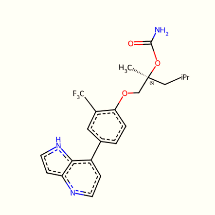 CC(C)C[C@@](C)(COc1ccc(-c2ccnc3cc[nH]c23)cc1C(F)(F)F)OC(N)=O